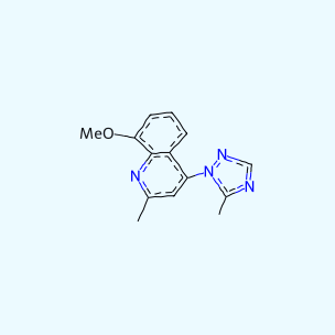 COc1cccc2c(-n3ncnc3C)cc(C)nc12